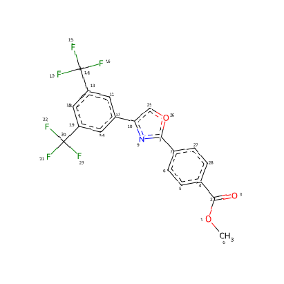 COC(=O)c1ccc(-c2nc(-c3cc(C(F)(F)F)cc(C(F)(F)F)c3)co2)cc1